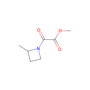 COC(=O)C(=O)N1CCC1C